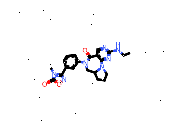 CCNc1ncc2c(n1)N1CCCC1CN(c1cccc(-c3noc(=O)n3C)c1)C2=O